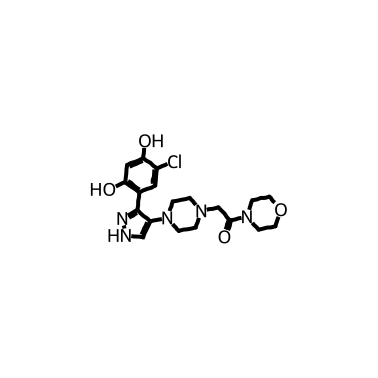 O=C(CN1CCN(c2c[nH]nc2-c2cc(Cl)c(O)cc2O)CC1)N1CCOCC1